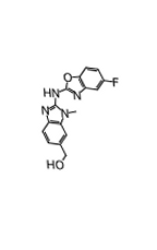 Cn1c(Nc2nc3cc(F)ccc3o2)nc2ccc(CO)cc21